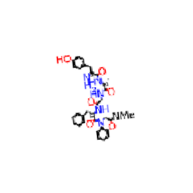 CNC(=O)CN(C(=O)[C@H](Cc1ccccc1)NC(=O)CNC(=O)[C@@H](C)NC(=O)[C@@H](N)Cc1ccc(O)cc1)c1ccccc1